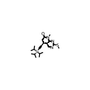 CSc1ncc2c(C#C[Si](C(C)C)(C(C)C)C(C)C)cc(=O)n(C)c2n1